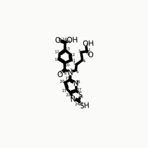 O=C(O)CCCCN(C(=O)c1ccc(C(=O)O)cc1)c1ccc2nc(S)sc2n1